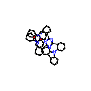 c1ccc(-n2c3ccccc3c3ccccc32)c(-c2nc(-c3ccccc3-n3c4ccccc4c4ccccc43)nc(-c3ccccc3-n3c4ccccc4c4ccccc43)n2)c1